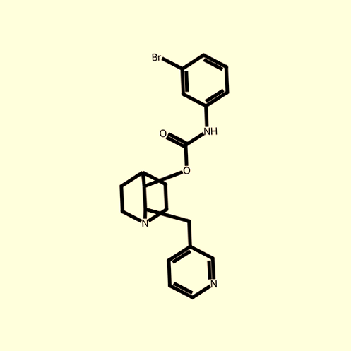 O=C(Nc1cccc(Br)c1)OC1C2CCN(CC2)C1Cc1cccnc1